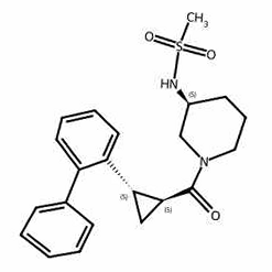 CS(=O)(=O)N[C@H]1CCCN(C(=O)[C@H]2C[C@@H]2c2ccccc2-c2ccccc2)C1